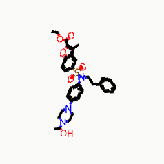 CCOC(=O)c1oc2ccc(S(=O)(=O)N(CCc3ccccc3)c3ccc(N4CCN(C(C)O)CC4)cc3)cc2c1C